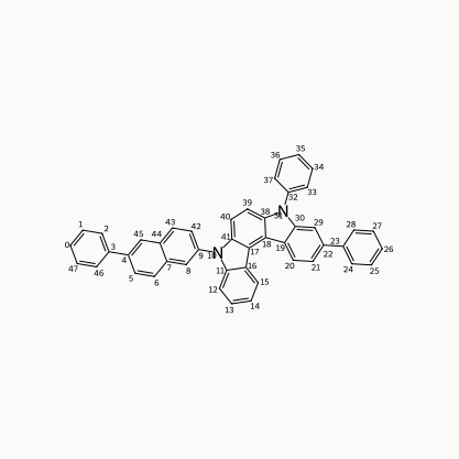 c1ccc(-c2ccc3cc(-n4c5ccccc5c5c6c7ccc(-c8ccccc8)cc7n(-c7ccccc7)c6ccc54)ccc3c2)cc1